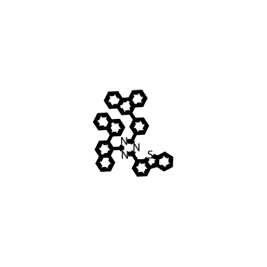 c1cc(-c2nc(-c3c(-c4cccc5ccccc45)ccc4ccccc34)nc(-c3cccc4c3sc3ccccc34)n2)cc(-c2cc3ccccc3c3ccccc23)c1